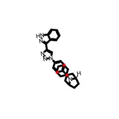 c1ccc2c(-c3cn(-c4ccc(C5CC6CC[C@H](C5)N6C5CCCCC5)cc4)nn3)n[nH]c2c1